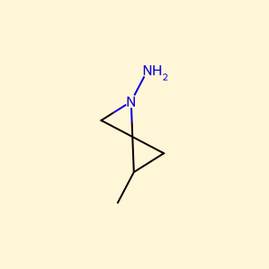 CC1CC12CN2N